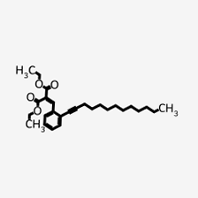 CCCCCCCCCCCC#Cc1ccccc1C=C(C(=O)OCC)C(=O)OCC